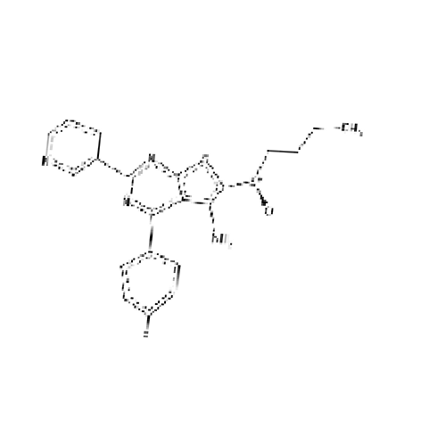 CCCC[S@@+]([O-])c1sc2nc(-c3cccnc3)nc(-c3ccc(F)cc3)c2c1N